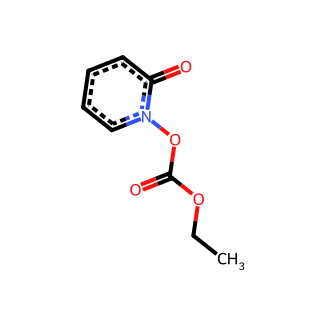 CCOC(=O)On1ccccc1=O